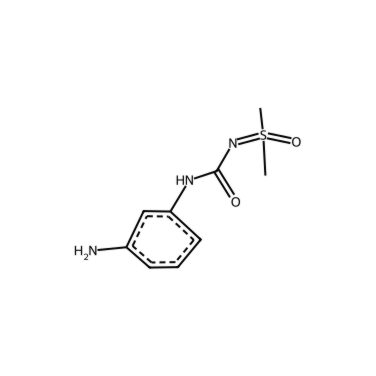 CS(C)(=O)=NC(=O)Nc1cccc(N)c1